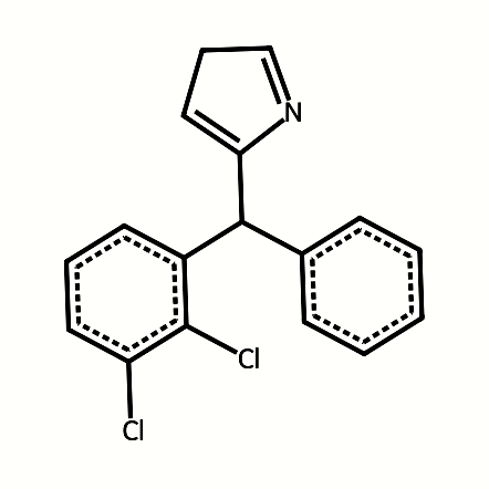 Clc1cccc(C(C2=CCC=N2)c2ccccc2)c1Cl